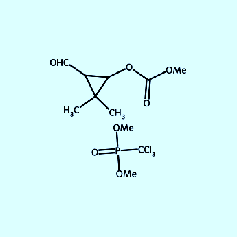 COC(=O)OC1C(C=O)C1(C)C.COP(=O)(OC)C(Cl)(Cl)Cl